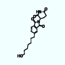 O=C1CCC(N2C(=O)c3ccc(CCCCCCCO)cc3C2=O)C(=O)N1